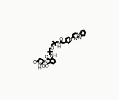 CC(C)(CNC(=O)CC1CCN(c2ccn3c(n2)nc2ccccc23)CC1)COCC(C)(C)CNc1cccc2c1C(=O)N(C1CCC(=O)NC1=O)C2=O